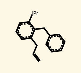 C=CCc1cccc([C](C)C)c1Cc1ccccc1